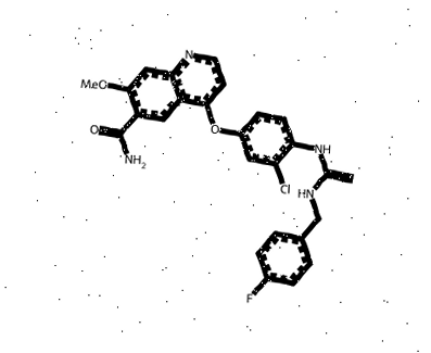 C=C(NCc1ccc(F)cc1)Nc1ccc(Oc2ccnc3cc(OC)c(C(N)=O)cc23)cc1Cl